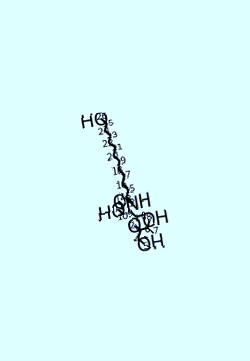 CC(OC(CO)[C@H](C)O)[C@H](CO)NC(=O)CCCCCCCCCCCO